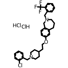 Cl.Cl.FC(F)(F)c1ccccc1CN1CCCc2cc(OCCC3CCN(Cc4ccccc4Cl)CC3)ccc2C1